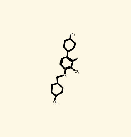 CC1CCC(c2ccc(OCC3CCC(C)CO3)c(C(F)(F)F)c2F)CC1